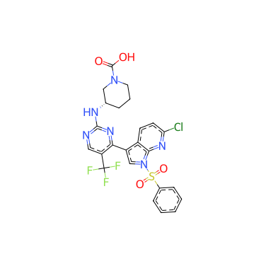 O=C(O)N1CCC[C@H](Nc2ncc(C(F)(F)F)c(-c3cn(S(=O)(=O)c4ccccc4)c4nc(Cl)ccc34)n2)C1